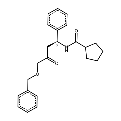 O=C(COCc1ccccc1)C[C@H](NC(=O)C1CCCC1)c1ccccc1